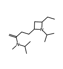 C=C(CCC1CC(CC)N1C(C)C)N(C)C(C)C